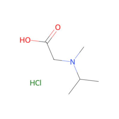 CC(C)N(C)CC(=O)O.Cl